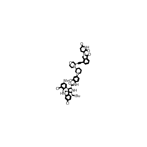 COc1cc(N2CCC[C@@H](N3CCOC[C@H]3C#Cc3cccc4c3CN(C3CCC(=O)NC3=O)C4=O)C2)ccc1NC(=O)[C@@H]1N[C@@H](CC(C)(C)C)[C@@]2(CNc3cc(Cl)ccc32)[C@H]1c1cccc(Cl)c1F